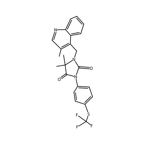 Cc1cnc2ccccc2c1CN1C(=O)N(c2ccc(SC(F)(F)F)cc2)C(=O)C1(C)C